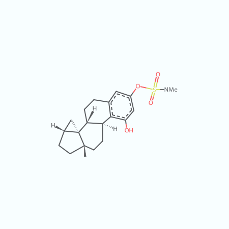 CNS(=O)(=O)Oc1cc(O)c2c(c1)CC[C@@H]1[C@@H]2CC[C@]2(C)CC[C@@H]3C[C@]312